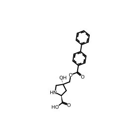 O=C(OC[C@]1(O)CN[C@H](C(=O)O)C1)c1ccc(-c2ccccc2)cc1